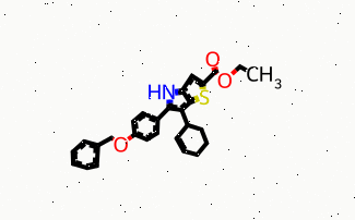 CCOC(=O)c1cc2[nH]c(-c3ccc(OCc4ccccc4)cc3)c(C3C=CCCC3)c2s1